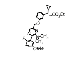 CCOC(=O)C[C@H](c1cccc(OCc2cnc(-c3cc(OC)ccc3F)c(N(C)C)n2)c1)C1CC1